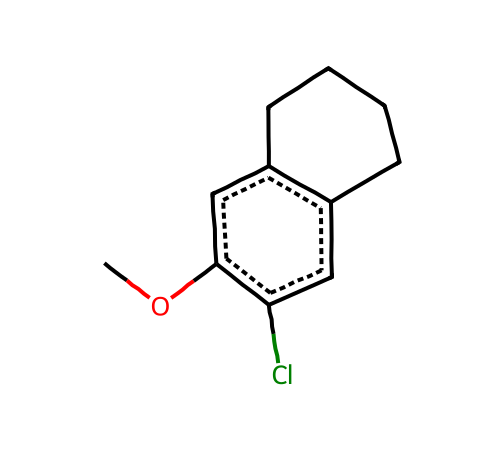 COc1cc2c(cc1Cl)CCCC2